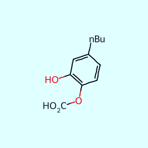 CCCCc1ccc(OC(=O)O)c(O)c1